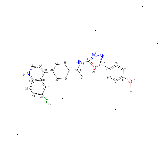 CCC(Nc1nnc(-c2ccc(OC)cc2)o1)[C@H]1CC[C@@H](c2ccnc3ccc(F)cc32)CC1